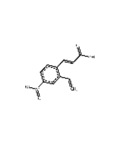 C=Cc1cc([N+](=O)[O-])ccc1C=CC(=O)O